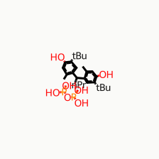 CCCC(c1cc(C(C)(C)C)c(O)cc1C)c1cc(C(C)(C)C)c(O)cc1C.OP(O)OP(O)O